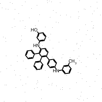 Cc1cccc(Nc2ccc(-c3ccc(Nc4cccc(O)c4)c(-c4ccccc4)c3-c3ccccc3)cc2)c1